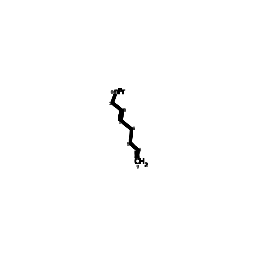 [CH2]CCC/C=C/CCC=C